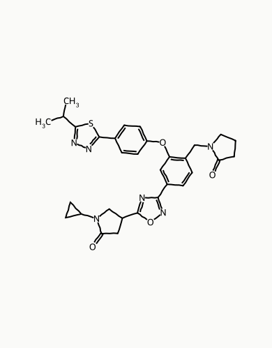 CC(C)c1nnc(-c2ccc(Oc3cc(-c4noc(C5CC(=O)N(C6CC6)C5)n4)ccc3CN3CCCC3=O)cc2)s1